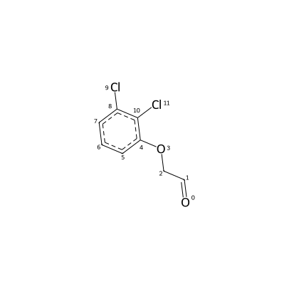 O=CCOc1cccc(Cl)c1Cl